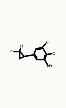 CCCc1cc(C2CC2(Cl)Cl)cc(Cl)c1Cl